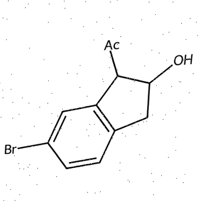 CC(=O)C1c2cc(Br)ccc2CC1O